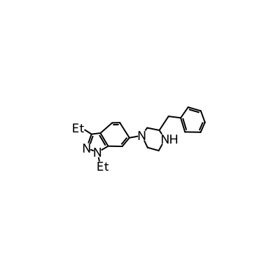 CCc1nn(CC)c2cc(N3CCNC(Cc4ccccc4)C3)ccc12